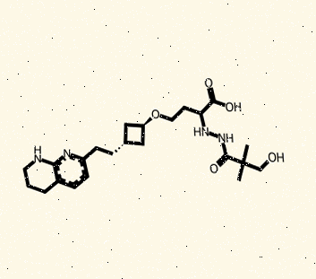 CC(C)(CO)C(=O)NNC(CCO[C@H]1C[C@H](CCc2ccc3c(n2)NCCC3)C1)C(=O)O